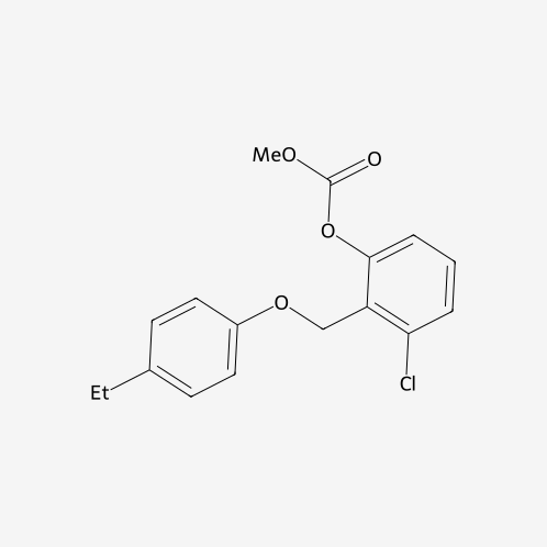 CCc1ccc(OCc2c(Cl)cccc2OC(=O)OC)cc1